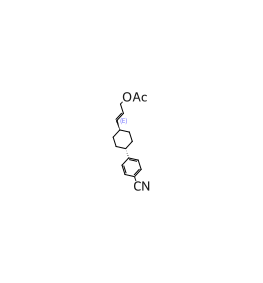 CC(=O)OC/C=C/[C@H]1CC[C@H](c2ccc(C#N)cc2)CC1